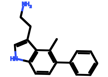 Cc1c(-c2ccccc2)ccc2[nH]cc(CCN)c12